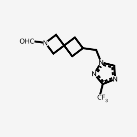 O=CN1CC2(CC(Cn3cnc(C(F)(F)F)n3)C2)C1